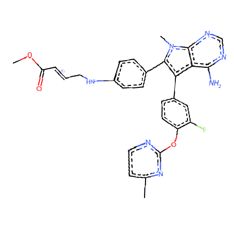 COC(=O)/C=C/CNc1ccc(-c2c(-c3ccc(Oc4nccc(C)n4)c(F)c3)c3c(N)ncnc3n2C)cc1